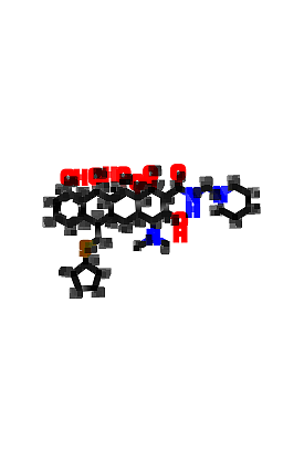 CN(C)C1C(O)=C(C(=O)NCN2CCCCC2)C(=O)C2(O)C(O)=C3C(=O)c4c(O)cccc4C(CSC4CCCC4)C3CC12